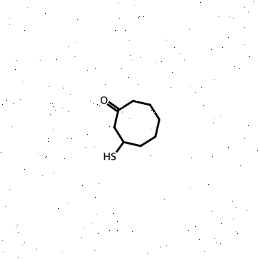 O=C1CCCCCC(S)C1